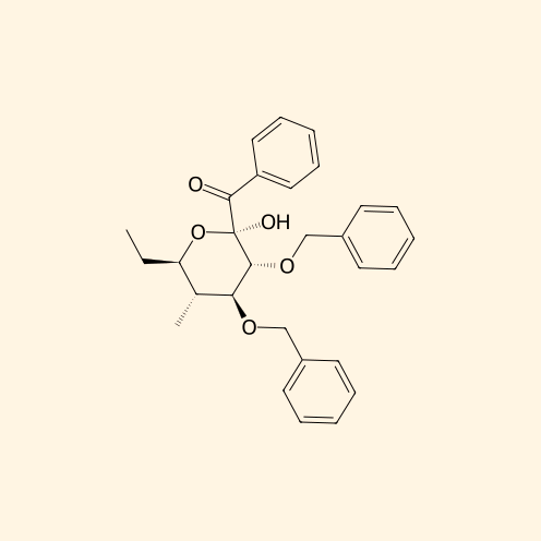 CC[C@H]1O[C@@](O)(C(=O)c2ccccc2)[C@H](OCc2ccccc2)[C@@H](OCc2ccccc2)[C@@H]1C